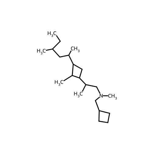 CCC(C)CC(C)C1CC(C(C)CN(C)CC2CCC2)C1C